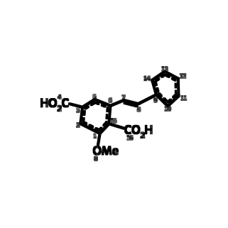 COc1cc(C(=O)O)cc(C=Cc2ccccc2)c1C(=O)O